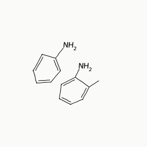 Cc1ccccc1N.Nc1ccccc1